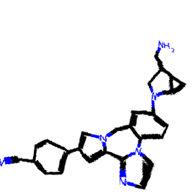 N#Cc1ccc(-c2cc3n(c2)Cc2cc(N4CC(CN)C5CC54)ccc2-n2ccnc2-3)cc1